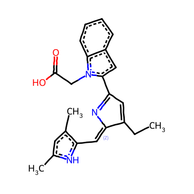 CCC1=CC(c2cc3ccccc3n2CC(=O)O)=N/C1=C\c1[nH]c(C)cc1C